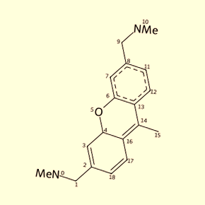 CNCC1=CC2Oc3cc(CNC)ccc3C(C)=C2C=C1